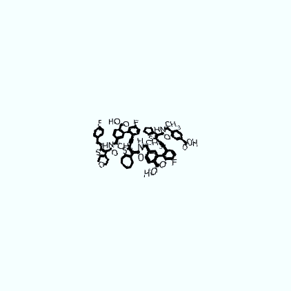 C[C@H](NC(=O)c1c(C#Cc2ccc(F)cc2-c2cc([C@H](C)NC(=O)c3c(CCc4ccc(F)cc4)sc4c3CCOC4)ccc2C(=O)O)sc2c1CCCCC2)c1ccc(C(=O)O)c(-c2cc(F)ccc2C#Cc2sc3c(c2C(=O)N[C@@H](C)c2ccc(C(=O)O)cc2)CCC3)c1